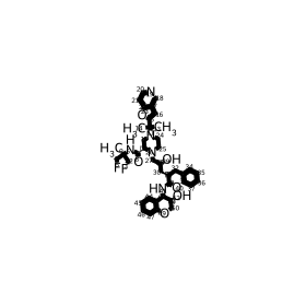 CC(CF)(CF)NC(=O)[C@@H]1CN(C(C)(C)c2cc3cnccc3o2)CCN1C[C@@H](O)C[C@@H](Cc1ccccc1)C(=O)NC1c2ccccc2OC[C@H]1O